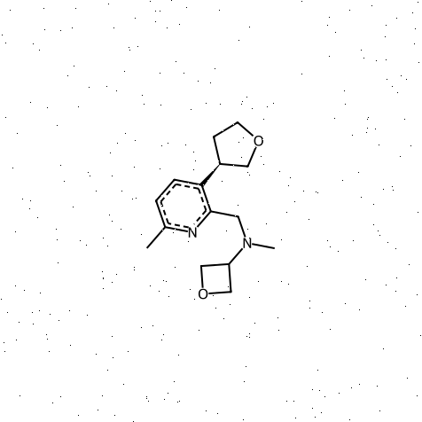 Cc1ccc([C@H]2CCOC2)c(CN(C)C2COC2)n1